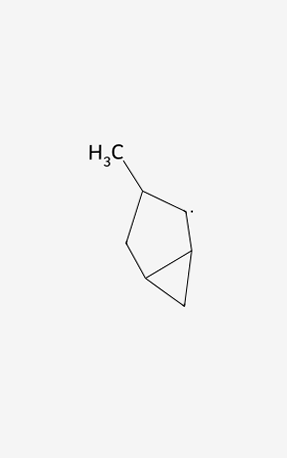 CC1[CH]C2CC2C1